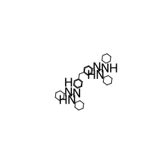 c1cc(N=C(NC2CCCCC2)NC2CCCCC2)ccc1Cc1ccc(N=C(NC2CCCCC2)NC2CCCCC2)cc1